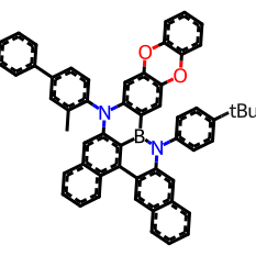 Cc1cc(-c2ccccc2)ccc1N1c2cc3c(cc2B2c4c1cc1ccccc1c4-c1cc4ccccc4cc1N2c1ccc(C(C)(C)C)cc1)Oc1ccccc1O3